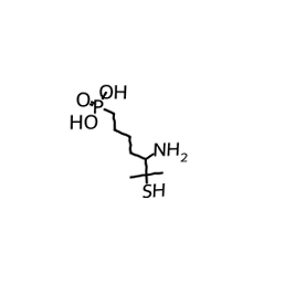 CC(C)(S)C(N)CCCCP(=O)(O)O